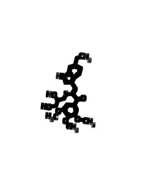 CCc1ccc2c(C=C(SCC(O)CO)C(=O)c3cc(OC)c(OC)c(OC)c3)c[nH]c2c1